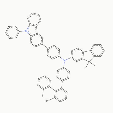 Cc1ccccc1-c1c(-c2ccc(N(c3ccc(-c4ccc5c(c4)c4ccccc4n5-c4ccccc4)cc3)c3ccc4c(c3)C(C)(C)c3ccccc3-4)cc2)cccc1C(C)C